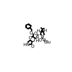 CC(C)(C)OC(=O)N1C[C@H]2[C@@H]([C@H]1C(=O)N[C@@H](C[C@@H]1CCNC1=O)C(=O)COCc1ccccc1)C2(C)C